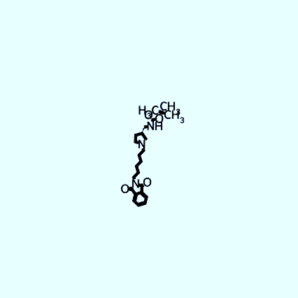 CC(C)(C)OC(=O)NC[C@H]1CCN(CCCCCCN2C(=O)c3ccccc3C2=O)C1